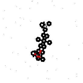 CC1CCCC2(C)c3cc(-c4ccc5c6c(-c7ccccc7)c7c8ccc(-c9ccc%10c(c9)C9(C)CCCC(C)C9(C)N%10c9ccccc9)c9c(-c%10ccc%11c(c%10)C%10(C)CCCC(C)C%10(C)N%11c%10ccccc%10)ccc(c7c(-c7ccccc7)c6c6cccc4c65)c98)ccc3N(c3ccccc3)C12C